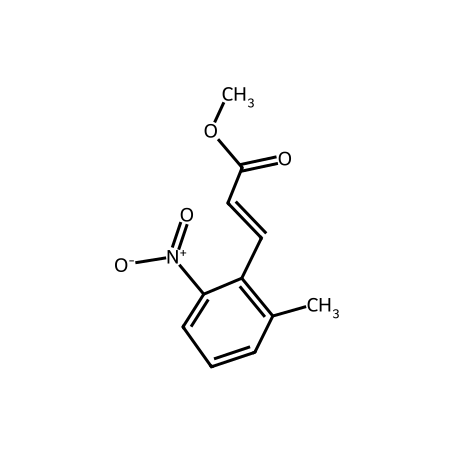 COC(=O)C=Cc1c(C)cccc1[N+](=O)[O-]